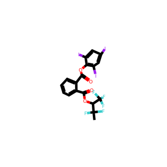 CC(F)(F)C(OC(=O)c1ccccc1C(=O)Oc1c(I)cc(I)cc1I)C(F)(F)F